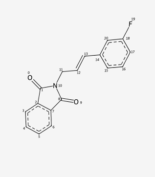 O=C1c2ccccc2C(=O)N1C/C=C/c1cccc(F)c1